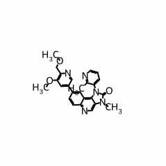 COCc1ncc(-c2ccc3ncc4c(c3c2)n(-c2cccnc2C)c(=O)n4C)cc1OC